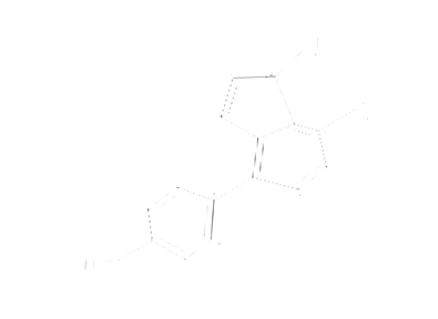 Cc1ccc(-c2ccc(Br)c3c2C=CC3C)cc1